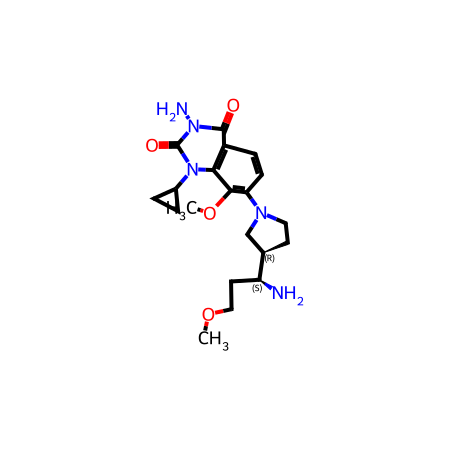 COCC[C@H](N)[C@@H]1CCN(c2ccc3c(=O)n(N)c(=O)n(C4CC4)c3c2OC)C1